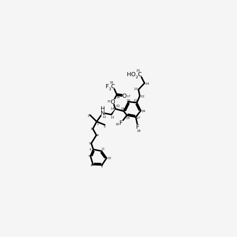 CC(C)(CCCc1ccccc1)NC[C@@H](OC(=O)C(F)(F)F)c1cc(CCCC(=O)O)cc(F)c1F